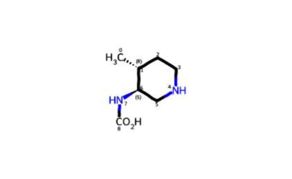 C[C@@H]1CCNC[C@H]1NC(=O)O